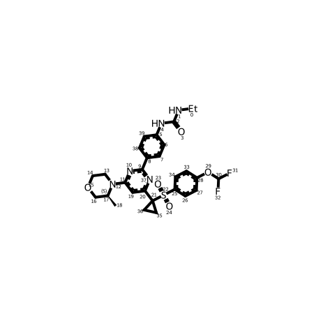 CCNC(=O)Nc1ccc(-c2nc(N3CCOC[C@@H]3C)cc(C3(S(=O)(=O)c4ccc(OC(F)F)cc4)CC3)n2)cc1